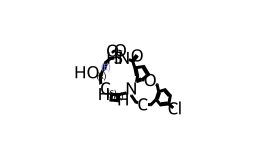 O=C1NS(=O)(=O)C/C=C/[C@H](O)CC[C@@H]2CC[C@H]2CN2CCCCc3cc(Cl)ccc3COc3ccc1cc32